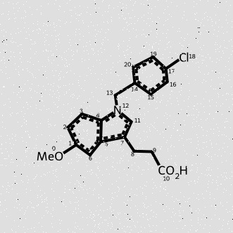 COc1ccc2c(c1)c(CCC(=O)O)cn2Cc1ccc(Cl)cc1